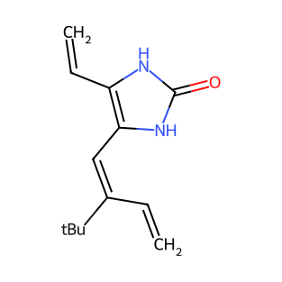 C=C/C(=C\c1[nH]c(=O)[nH]c1C=C)C(C)(C)C